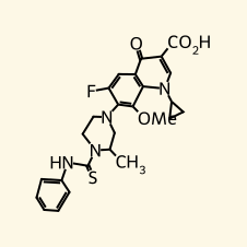 COc1c(N2CCN(C(=S)Nc3ccccc3)C(C)C2)c(F)cc2c(=O)c(C(=O)O)cn(C3CC3)c12